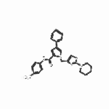 O=C(O)c1ccc(NC(=O)c2cc(-c3ccccc3)cn2Cc2csc(N3CCCCC3)n2)cc1